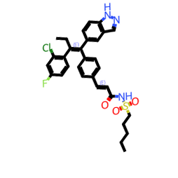 CCCCCS(=O)(=O)NC(=O)/C=C/c1ccc(/C(=C(/CC)c2ccc(F)cc2Cl)c2ccc3[nH]ncc3c2)cc1